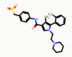 Cc1c(C(=O)Nc2ccc(C[SH](=O)=O)cc2)cn(CCN2CCCCC2)c1-c1ccccc1C(F)(F)F